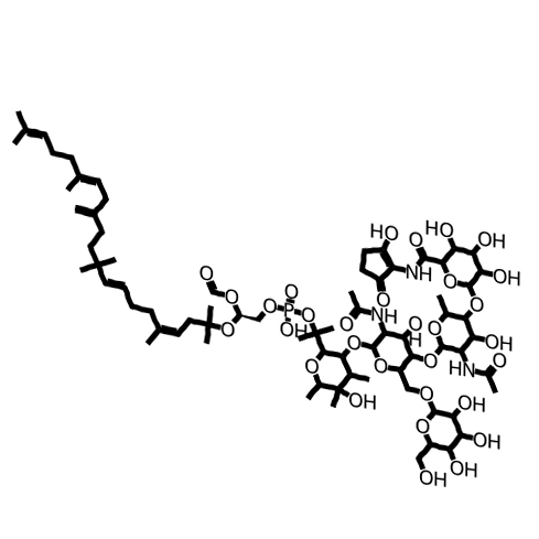 C=C(C/C=C(\C)CCC=C(C)C)CCC(C)(C)/C=C/CC/C(C)=C\CC(C)(C)O[C@H](COP(=O)(O)OC(C)(C)C1OC(C)C(C)(O)C(C)C1OC1OC(COC2OC(CO)C(O)C(O)C2O)C(OC2OC(C)C(OC3OC(C(=O)NC4=C(O)CCC4=O)C(O)C(O)C3O)C(O)C2NC(C)=O)C(O)C1NC(C)=O)OC=O